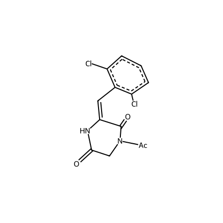 CC(=O)N1CC(=O)N/C(=C/c2c(Cl)cccc2Cl)C1=O